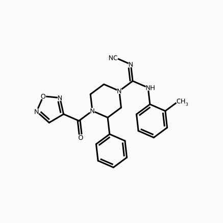 Cc1ccccc1N/C(=N/C#N)N1CCN(C(=O)c2cnon2)C(c2ccccc2)C1